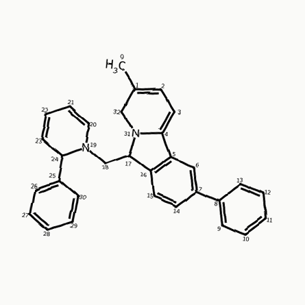 CC1=CC=C2c3cc(-c4ccccc4)ccc3C(CN3C=CC=CC3c3ccccc3)N2C1